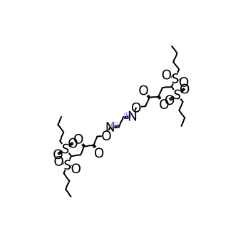 CCCCS(=O)(=O)C(CC(=O)C(=O)CO/N=C/C=N/OCC(=O)C(=O)CC(S(=O)(=O)CCCC)S(=O)(=O)CCCC)S(=O)(=O)CCCC